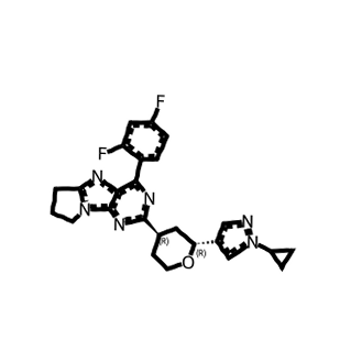 Fc1ccc(-c2nc([C@@H]3CCO[C@@H](c4cnn(C5CC5)c4)C3)nc3c2nc2n3CCC2)c(F)c1